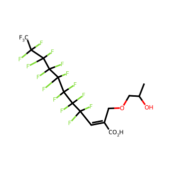 CC(O)COCC(=CC(F)(F)C(F)(F)C(F)(F)C(F)(F)C(F)(F)C(F)(F)C(F)(F)C(F)(F)F)C(=O)O